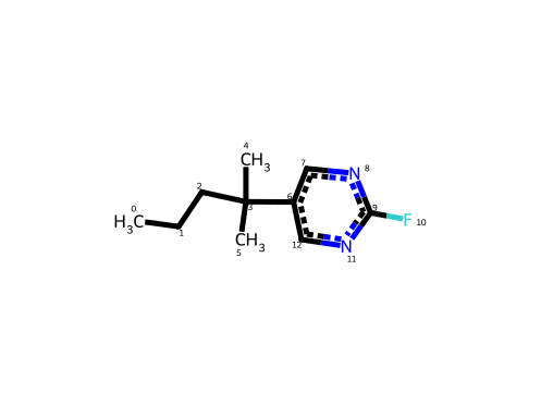 CCCC(C)(C)c1cnc(F)nc1